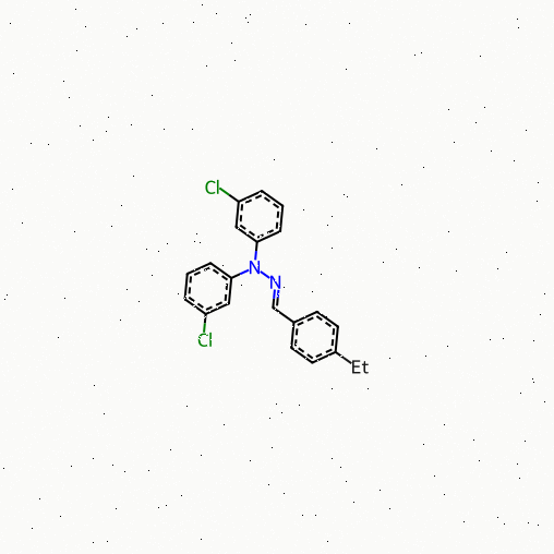 CCc1ccc(C=NN(c2cccc(Cl)c2)c2cccc(Cl)c2)cc1